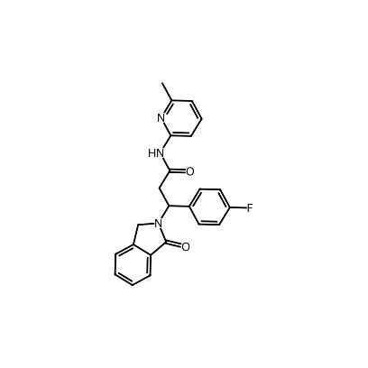 Cc1cccc(NC(=O)CC(c2ccc(F)cc2)N2Cc3ccccc3C2=O)n1